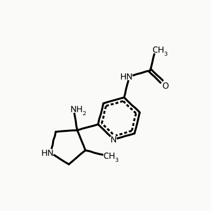 CC(=O)Nc1ccnc(C2(N)CNCC2C)c1